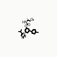 COC[C@@H](C)NC(=O)Oc1cc(-c2ccc(C)cc2)cc(-n2nncc2C(C)C)c1